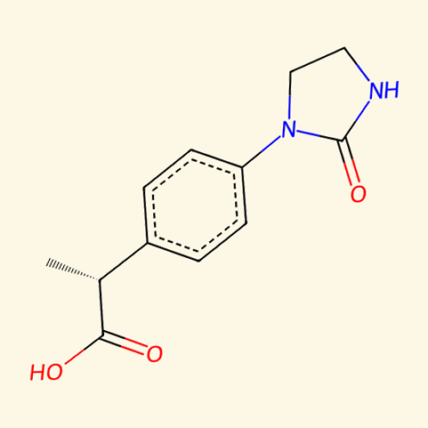 C[C@@H](C(=O)O)c1ccc(N2CCNC2=O)cc1